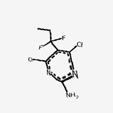 CCC(F)(F)c1c(Cl)nc(N)nc1Cl